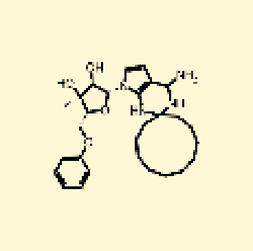 C[C@@]1(O)[C@@H](COc2ccccc2)O[C@@H](n2ccc3c2NC2(CCCCCCCCCC2)NC3N)[C@@H]1O